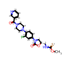 COC(=S)NC[C@H]1CN(c2ccc(N3CCN(C(=O)c4cccnc4)CC3)c(F)c2)C(=O)O1